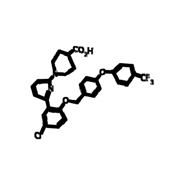 O=C(O)C1CCN(c2cccc(-c3cc(Cl)ccc3OCc3ccc(Oc4ccc(C(F)(F)F)cc4)cc3)n2)CC1